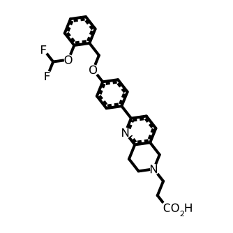 O=C(O)CCN1CCc2nc(-c3ccc(OCc4ccccc4OC(F)F)cc3)ccc2C1